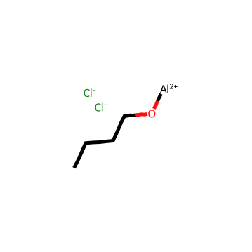 CCCC[O][Al+2].[Cl-].[Cl-]